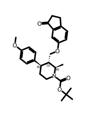 COc1ccc([C@@H]2CCN(C(=O)OC(C)(C)C)[C@H](C)[C@H]2COc2ccc3c(c2)C(=O)CC3)cc1